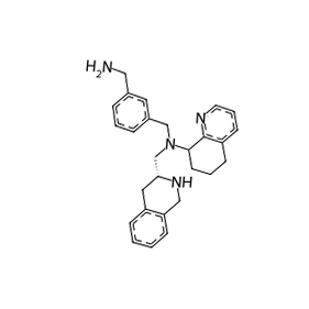 NCc1cccc(CN(C[C@H]2Cc3ccccc3CN2)C2CCCc3cccnc32)c1